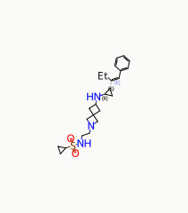 CC/C(=C\c1ccccc1)[C@@H]1C[C@H]1NC1CC2(C1)CN(CCNS(=O)(=O)C1CC1)C2